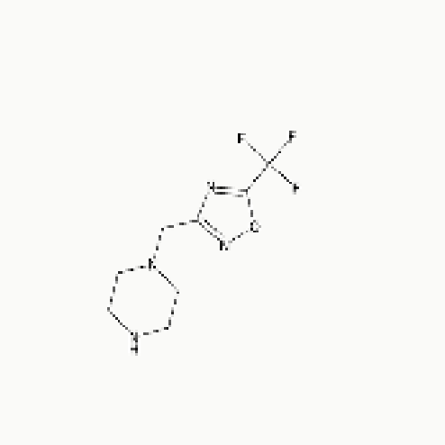 FC(F)(F)c1nc(CN2CCNCC2)no1